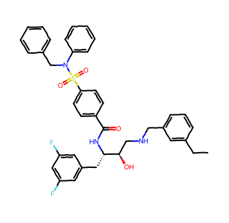 CCc1cccc(CNC[C@@H](O)[C@H](Cc2cc(F)cc(F)c2)NC(=O)c2ccc(S(=O)(=O)N(Cc3ccccc3)c3ccccc3)cc2)c1